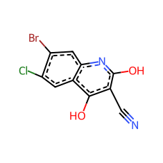 N#Cc1c(O)nc2cc(Br)c(Cl)cc2c1O